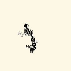 Nc1nc2c(ncn2CCN2CCN(c3ccc(O[C@H]4COC[C@@H]4O)cc3F)CC2)c2cc(-c3ccco3)nn12